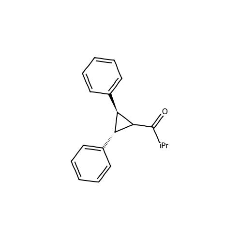 CC(C)C(=O)C1[C@H](c2ccccc2)[C@H]1c1ccccc1